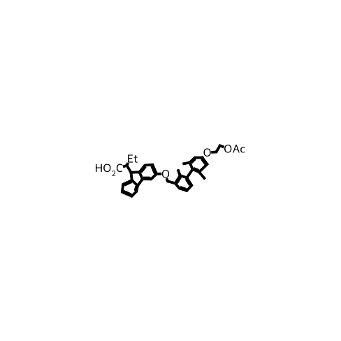 CCC(C(=O)O)C1c2ccccc2-c2cc(OCc3cccc(-c4c(C)cc(OCCOC(C)=O)cc4C)c3C)ccc21